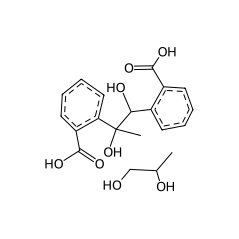 CC(O)(c1ccccc1C(=O)O)C(O)c1ccccc1C(=O)O.CC(O)CO